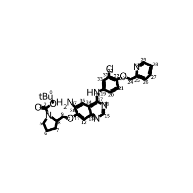 CC(C)(C)OC(=O)N1CCCC1COc1cc2ncnc(Nc3ccc(OCc4ccccn4)c(Cl)c3)c2cc1N